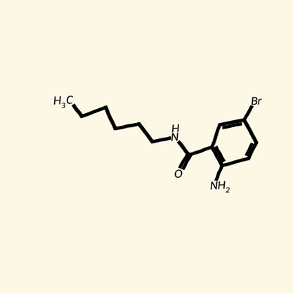 CCCCCCNC(=O)c1cc(Br)ccc1N